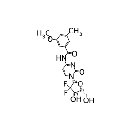 COc1cc(C)cc(C(=O)Nc2ccn([C@@H]3O[C@H](CO)[C@@H](O)C3(F)F)c(=O)n2)c1